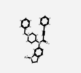 CC(=O)N1CCc2ccc(N(C(=O)C#Cc3ccccc3)C3CCN(Cc4ccccc4)CC3)cc21